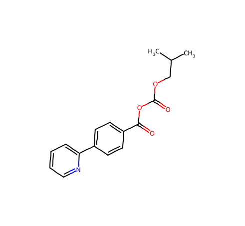 CC(C)COC(=O)OC(=O)c1ccc(-c2ccccn2)cc1